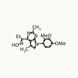 CCC(=NO)c1nc(C)nc2c1c(C)cn2-c1ccc(OC)cc1OC